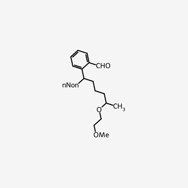 CCCCCCCCCC(CCCC(C)OCCOC)c1ccccc1C=O